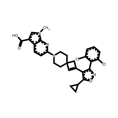 Cn1cc(C(=O)O)c2ccc(N3CCC4(C=C(c5c(-c6c(Cl)cccc6Cl)noc5C5CC5)C4)CC3)nc21